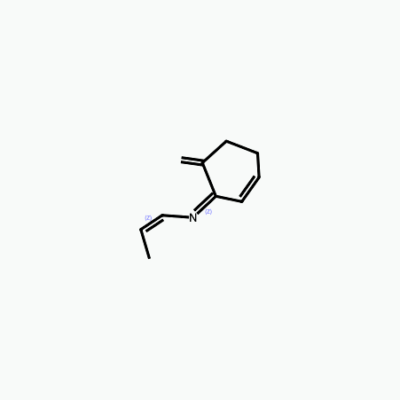 C=C1CCC=C/C1=N/C=C\C